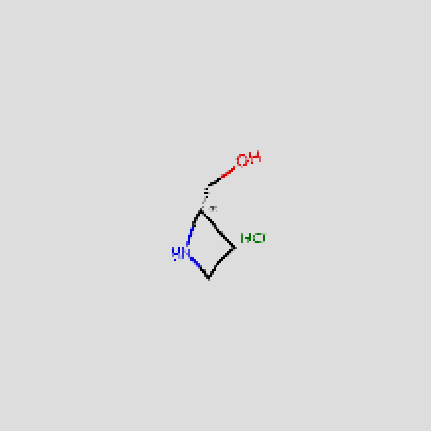 Cl.OC[C@@H]1CCN1